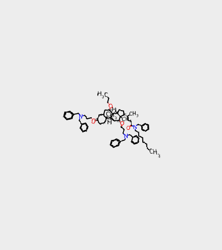 CCCCCCCCN(Cc1ccccc1)C(=O)CCC(C)[C@H]1CC[C@H]2C3[C@H](OCCC)CC4C[C@H](OCCCN(Cc5ccccc5)Cc5ccccc5)CCC4(C)[C@H]3C[C@H](OCCCN(Cc3ccccc3)Cc3ccccc3)C12C